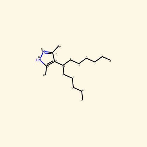 CCCCCCC(CCCCC)c1c(C)n[nH]c1C